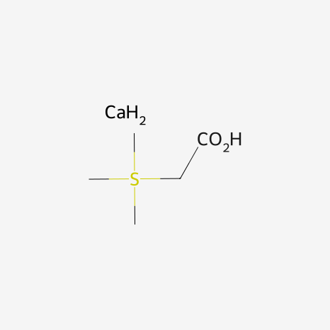 CS(C)(C)CC(=O)O.[CaH2]